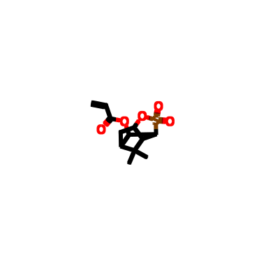 C=CC(=O)OC1C2CC3OS(=O)(=O)C1C3C2(C)C